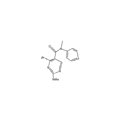 CNc1ncc(C(=O)N(C)c2ccccc2)c(C(C)C)n1